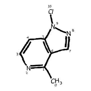 Cc1nccc2c1cnn2Cl